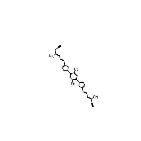 C#CC/C(C#N)=C/C=C/C1=CC=C(c2cc(CC)c(C3=CC=C(/C=C/C=C(/C#C)C#N)C3)cc2CC)C1